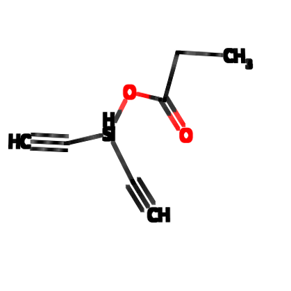 C#C[SiH](C#C)OC(=O)CC